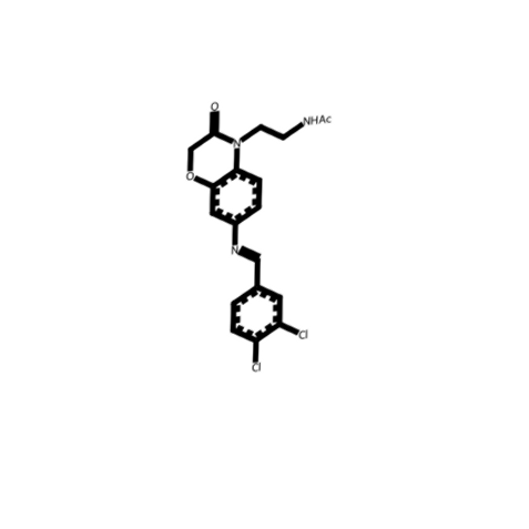 CC(=O)NCCN1C(=O)COc2cc(/N=C/c3ccc(Cl)c(Cl)c3)ccc21